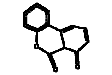 O=C1C=CC=C2c3ccccc3OC(=O)C12